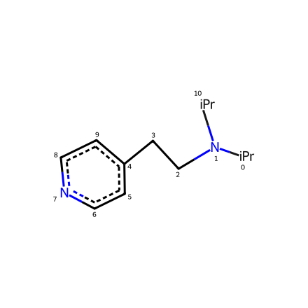 CC(C)N(CCc1ccncc1)C(C)C